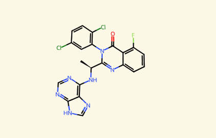 C[C@H](Nc1ncnc2[nH]cnc12)c1nc2cccc(F)c2c(=O)n1-c1cc(Cl)ccc1Cl